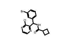 O=C(NC(c1cccc(Br)c1)c1nccnc1Cl)C1CCC1